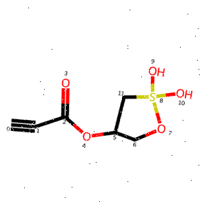 C#CC(=O)OC1COS(O)(O)C1